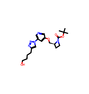 CC(C)(C)OC(=O)N1CC[C@H]1COc1cncc(-n2cc(CCCCO)nn2)c1